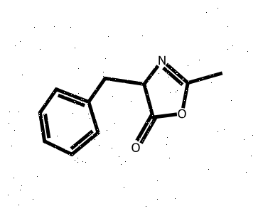 CC1=NC(Cc2ccccc2)C(=O)O1